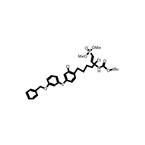 CCC(/C=C/P(=O)(OC)OC)(CCCCc1ccc(Sc2cccc(OCc3ccccc3)c2)cc1Cl)NC(=O)OC(C)(C)C